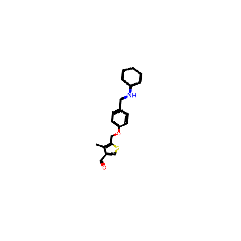 Cc1c(C=O)csc1COc1ccc(CNC2CCCCC2)cc1